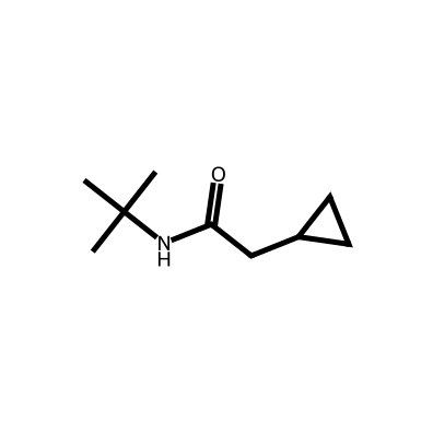 CC(C)(C)NC(=O)CC1CC1